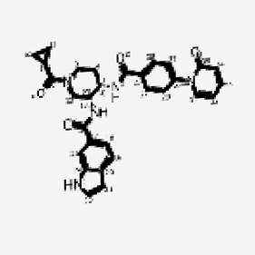 O=C(N[C@H]1CCN(C(=O)C2CC2)C[C@H]1NC(=O)c1ccc2cc[nH]c2c1)c1ccc(-n2ccccc2=O)cc1